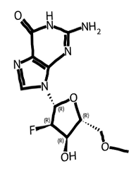 COC[C@H]1O[C@@H](n2cnc3c(=O)[nH]c(N)nc32)[C@H](F)[C@@H]1O